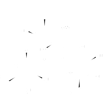 CO[C@@H]([C@H](C)[C@H](O)CO[C@@H]1O[C@H](CO)[C@@H](O)[C@H](O)[C@H]1O)[C@H](O)COC1O[C@H](CO)[C@@H](O)[C@H](O)[C@H]1O